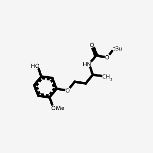 COc1ccc(O)cc1OCCC(C)NC(=O)OC(C)(C)C